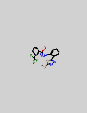 CSc1nnc(-c2ccccc2NC(=O)c2cccc(C(F)(F)F)c2)s1